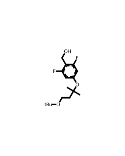 CC(C)(C)OCCC(C)(C)Oc1cc(F)c(CO)c(F)c1